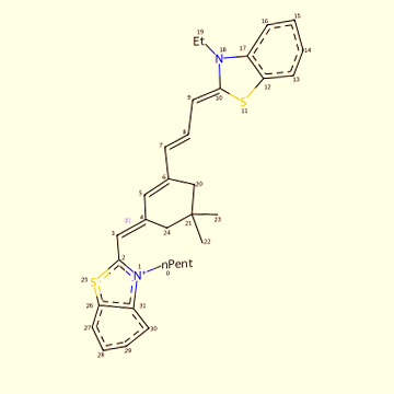 CCCCC[n+]1c(/C=C2/C=C(C=CC=C3Sc4ccccc4N3CC)CC(C)(C)C2)sc2ccccc21